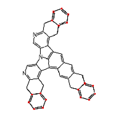 c1ccc2c(c1)C1c3ccccc3C2c2cc3c(cc21)cc1c2c4c(ncc2n2c5cnc6c(c5c3c12)C1c2ccccc2C6c2ccccc21)C1c2ccccc2C4c2ccccc21